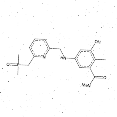 CNC(=O)c1cc(NCc2cccc(CP(C)(C)=O)n2)cc(O)c1C